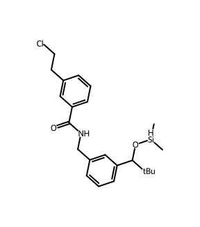 C[SiH](C)OC(c1cccc(CNC(=O)c2cccc(CCCl)c2)c1)C(C)(C)C